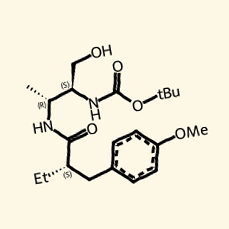 CC[C@@H](Cc1ccc(OC)cc1)C(=O)N[C@H](C)[C@@H](CO)NC(=O)OC(C)(C)C